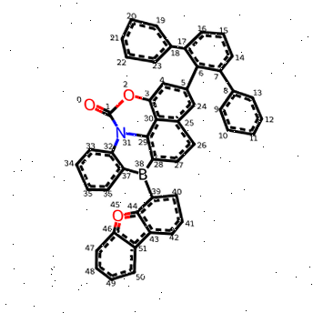 O=C1Oc2cc(-c3c(-c4ccccc4)cccc3-c3ccccc3)cc3ccc4c(c23)N1c1ccccc1B4c1cccc2c1oc1ccccc12